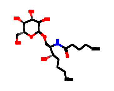 CCCCCCCCCCCCCC(=O)N[C@H](CO[C@H]1O[C@H](CO)[C@H](O)[C@H](O)[C@H]1O)[C@@H](O)CCCCCCCCCCCCC